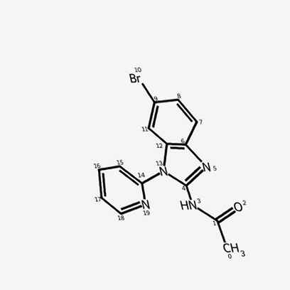 CC(=O)Nc1nc2ccc(Br)cc2n1-c1ccccn1